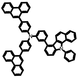 c1ccc(-n2c3cccc(-c4cccc(N(c5ccc(-c6cc7ccccc7c7ccccc67)cc5)c5ccc(-c6cc7ccccc7c7ccccc67)cc5)c4)c3c3ccc4ccccc4c32)cc1